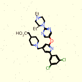 CC[C@H]1CN(CC)CCN1c1ncc(Oc2cc(CN3CCC(CC(=O)O)CC3)cc(-c3cc(Cl)cc(Cl)c3)n2)cn1